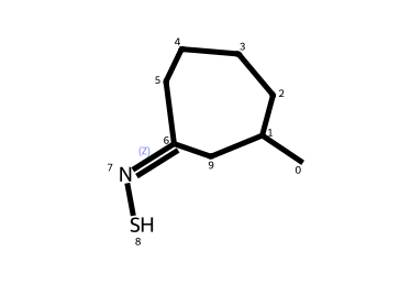 CC1CCCC/C(=N/S)C1